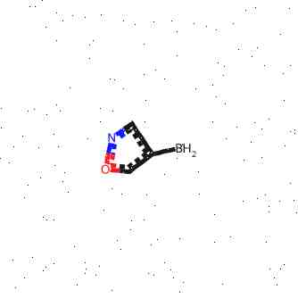 Bc1cnoc1